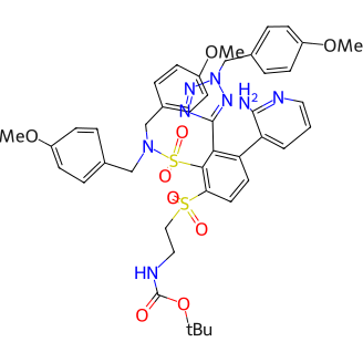 COc1ccc(CN(Cc2ccc(OC)cc2)S(=O)(=O)c2c(S(=O)(=O)CCNC(=O)OC(C)(C)C)ccc(-c3cccnc3N)c2-c2nnn(Cc3ccc(OC)cc3)n2)cc1